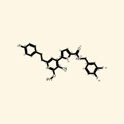 CC(C)Oc1nc(CCc2ccc(F)cc2)cc(-c2ccc(C(=O)NCc3ccc(F)c(F)c3)s2)c1C#N